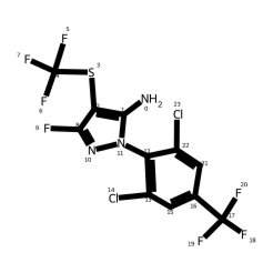 Nc1c(SC(F)(F)F)c(F)nn1-c1c(Cl)cc(C(F)(F)F)cc1Cl